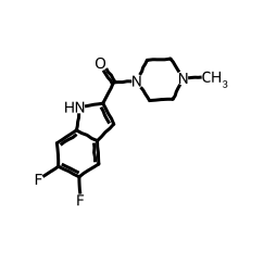 CN1CCN(C(=O)c2cc3cc(F)c(F)cc3[nH]2)CC1